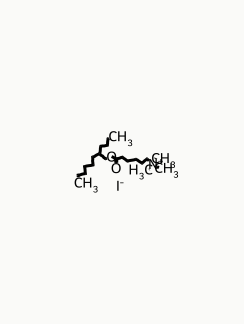 CCCCCCC(CCCC)COC(=O)CCCCC[N+](C)(C)C.[I-]